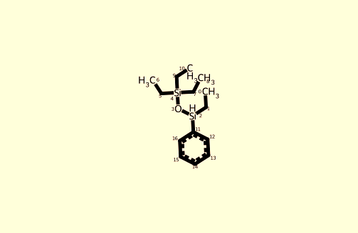 CC[SiH](O[Si](CC)(CC)CC)c1ccccc1